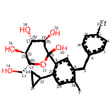 CCc1ccc(Cc2cc(C3(O)O[C@H](CO)[C@@H](O)[C@H](O)[C@H]3O)c(C3CC3)cc2C)cc1